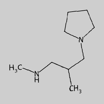 CNCC(C)CN1CCCC1